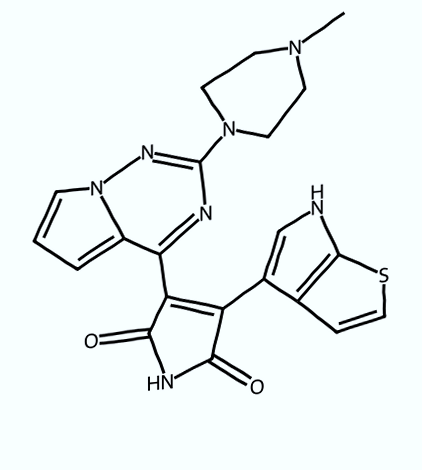 CN1CCN(c2nc(C3=C(c4c[nH]c5sccc45)C(=O)NC3=O)c3cccn3n2)CC1